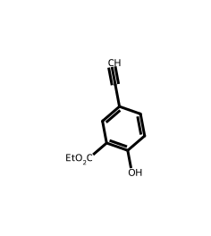 C#Cc1ccc(O)c(C(=O)OCC)c1